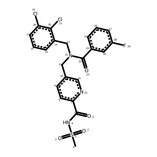 CS(=O)(=O)NC(=O)c1ccc(CN(Cc2cccc(Cl)c2Cl)C(=O)c2cccc(F)c2)cn1